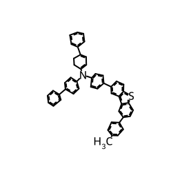 Cc1ccc(-c2ccc3sc4ccc(-c5ccc(N(C6=CC=C(c7ccccc7)CC6)c6ccc(-c7ccccc7)cc6)cc5)cc4c3c2)cc1